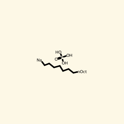 CCCCCCCCCCCCCC[CH2][Na].O=P(O)(O)O